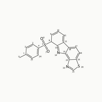 Cc1ccc(S(=O)(=O)C2C=CC=C3C2=Nc2c3ccc3scnc23)cc1